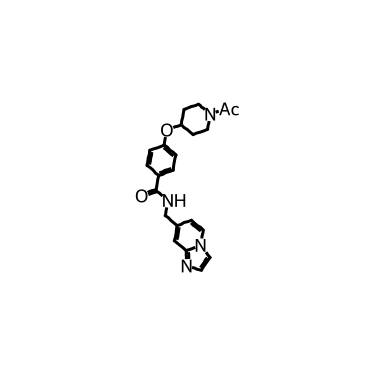 CC(=O)N1CCC(Oc2ccc(C(=O)NCc3ccn4ccnc4c3)cc2)CC1